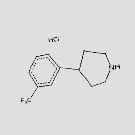 Cl.FC(F)(F)c1cccc(C2CCNCC2)c1